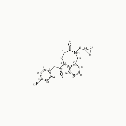 O=C1CCN(C(=O)Cc2ccc(F)cc2)c2ncccc2CN1CC1CC1